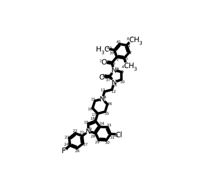 Cc1cc(C)c(C(=O)N2CCN(CCN3CCC(c4cn(-c5ccc(F)cc5)c5ccc(Cl)cc45)CC3)C2=O)c(C)c1